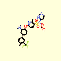 Cc1ccc([C@H]2CC[C@H](Oc3ccc(S(=O)(=O)N(OC=O)c4ccncn4)c(C)n3)[C@@H](N(C)C)C2)cc1C(F)(F)F